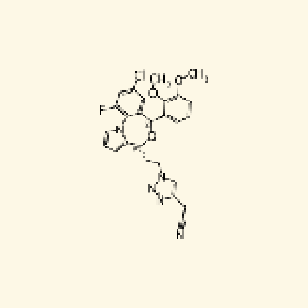 COc1cccc([C@H]2O[C@H](CCn3cc(CC#N)nn3)c3cccn3-c3c(F)cc(Cl)cc32)c1OC